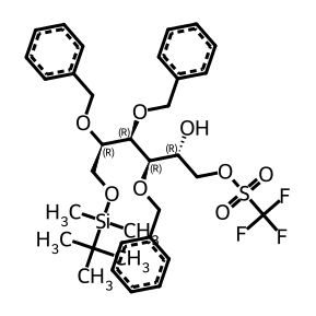 CC(C)(C)[Si](C)(C)OC[C@@H](OCc1ccccc1)[C@@H](OCc1ccccc1)[C@H](OCc1ccccc1)[C@H](O)COS(=O)(=O)C(F)(F)F